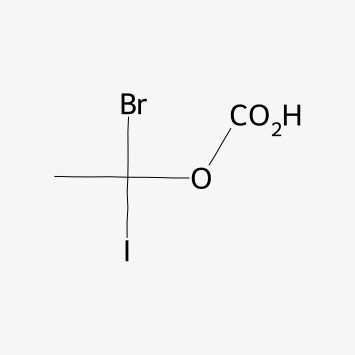 CC(Br)(I)OC(=O)O